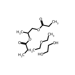 CCC(=O)OCC(C)OC(=O)CC.CCOCC.OCCO